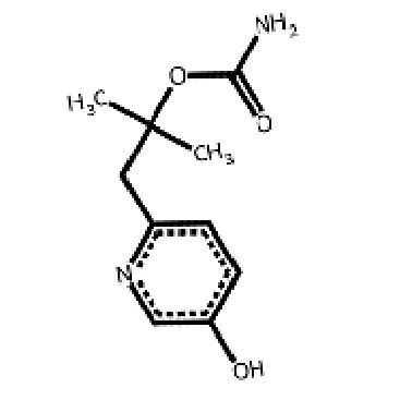 CC(C)(Cc1ccc(O)cn1)OC(N)=O